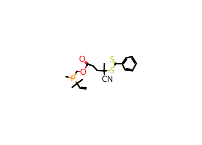 C=CC(C)(C)P(C)COC(=O)CCC(C)(C#N)SC(=S)c1ccccc1